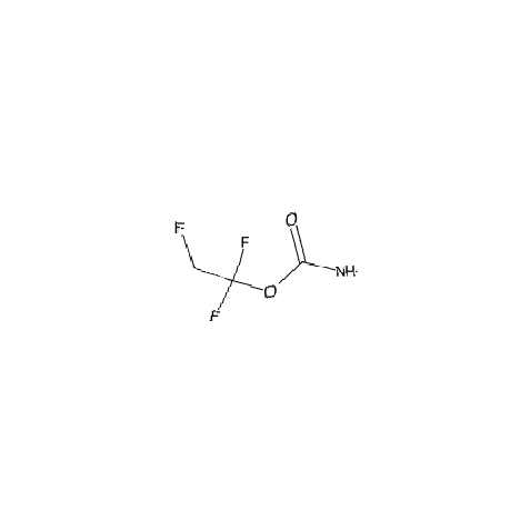 [NH]C(=O)OC(F)(F)CF